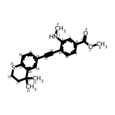 CNc1cc(C(=O)OC)ccc1C#Cc1ccc2c(c1)C(C)(C)CCS2